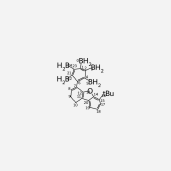 Bc1c(B)c(B)c(C2=CCCc3c2oc2c(C(C)(C)C)cccc32)c(B)c1B